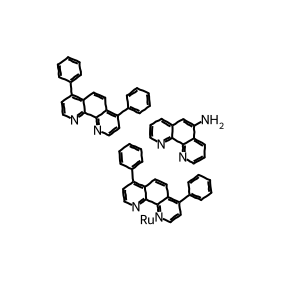 Nc1cc2cccnc2c2ncccc12.[Ru].c1ccc(-c2ccnc3c2ccc2c(-c4ccccc4)ccnc23)cc1.c1ccc(-c2ccnc3c2ccc2c(-c4ccccc4)ccnc23)cc1